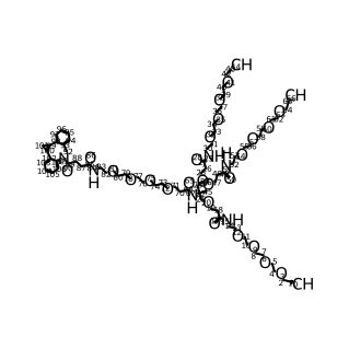 C#CCOCCOCCOCCOCCNC(=O)CCOCC(COCCC(=O)NCCOCCOCCOCCOCC#C)(COCCC(=O)NCCOCCOCCOCCOCC#C)NC(=O)CCOCCOCCOCCOCCNC(=O)CCC(=O)N1Cc2ccccc2C2=C(C2)c2ccccc21